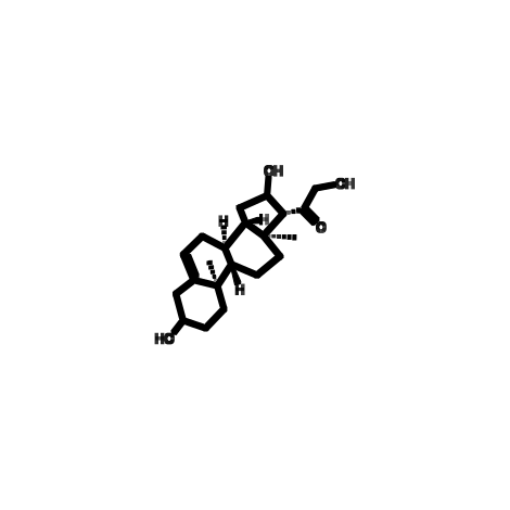 C[C@]12CC[C@H]3[C@@H](CC=C4CC(O)CC[C@@]43C)[C@@H]1CC(O)[C@@H]2C(=O)CO